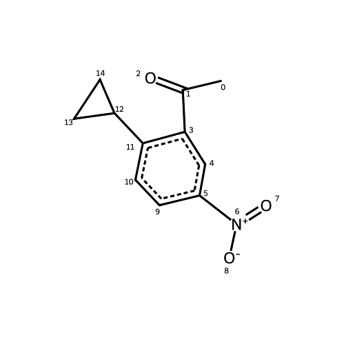 CC(=O)c1cc([N+](=O)[O-])ccc1C1CC1